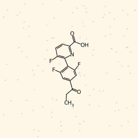 CCC(=O)c1cc(F)c(-c2nc(C(=O)O)ccc2F)c(F)c1